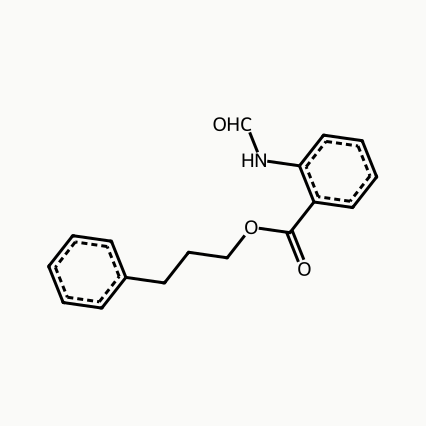 O=CNc1ccccc1C(=O)OCCCc1ccccc1